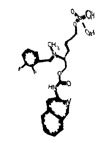 CN(Cc1cccc(F)c1F)[C@@H](CCCOP(=O)(O)O)COC(=O)Nc1cc2ccccc2cn1